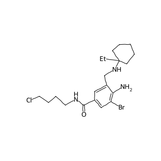 CCC1(NCc2cc(C(=O)NCCCCCl)cc(Br)c2N)CCCCC1